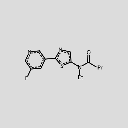 CCN(C(=O)C(C)C)c1cnc(-c2cncc(F)c2)s1